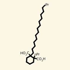 CCCC1(C(=O)O)CCCCC1(CCCCCCCCCCCCCCC(C)C)C(=O)O